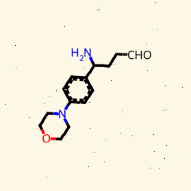 NC(CCC=O)c1ccc(N2CCOCC2)cc1